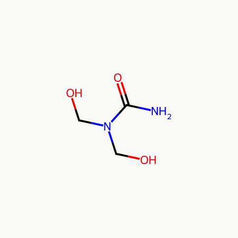 NC(=O)N(CO)CO